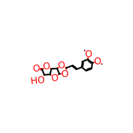 COc1ccc(/C=C/C2OC3OC4C(O)C(=O)OC4C3O2)cc1OC